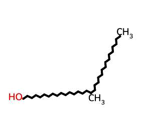 CCCCCCCCCCCCCCCCC(C)CCCCCCCCCCCCCCCCO